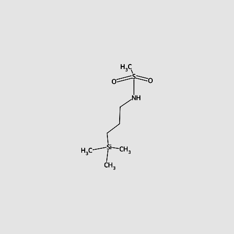 C[Si](C)(C)CCCNS(C)(=O)=O